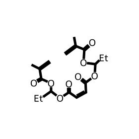 C=C(C)C(=O)OC(CC)OC(=O)/C=C\C(=O)OC(CC)OC(=O)C(=C)C